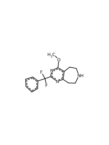 COc1nc(C(F)(F)c2ccccc2)nc2c1CCNCC2